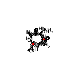 CCCC[C@H](NC(C)=O)C(=O)N[C@H]1CSSC[C@@H](C(N)=O)NC(=O)[C@H](Cc2c[nH]c3ccccc23)NC(=O)[C@H](CCCNC(=N)N)NC(=O)[C@@H](Cc2ccccc2)NC(=O)[C@H](Cc2c[nH]cn2)NC(=O)[C@@H](C)NC1=O